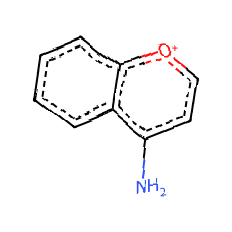 Nc1cc[o+]c2ccccc12